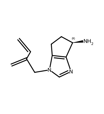 C=CC(=C)Cn1cnc2c1CC[C@H]2N